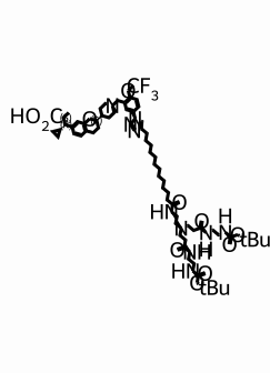 C[C@H](C(=O)O)[C@H](c1ccc2c(c1)O[C@@H](C1CCN(Cc3cc(-n4cc(CCCCCCCCCCCCC(=O)NCCN(CCC(=O)NCCNC(=O)OC(C)(C)C)CCC(=O)NCCNC(=O)OC(C)(C)C)nn4)ccc3OC(F)(F)F)CC1)CC2)C1CC1